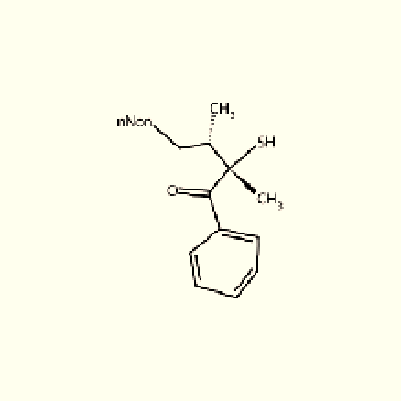 CCCCCCCCCC[C@H](C)[C@](C)(S)C(=O)c1ccccc1